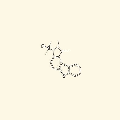 CC1=C(C)C([Si](C)(C)Cl)c2ccc3sc4ccccc4c3c21